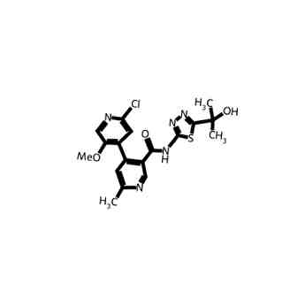 COc1cnc(Cl)cc1-c1cc(C)ncc1C(=O)Nc1nnc(C(C)(C)O)s1